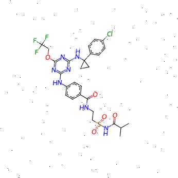 CC(C)C(=O)NS(=O)(=O)CCNC(=O)c1ccc(Nc2nc(NC3(c4ccc(Cl)cc4)CC3)nc(OCC(F)(F)F)n2)cc1